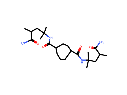 CC(CC(C)(C)NC(=O)C1CCCC(C(=O)NC(C)(C)CC(C)C(N)=O)CC1)C(N)=O